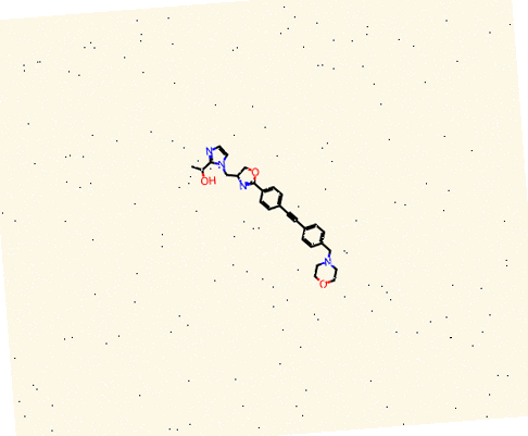 CC(O)c1nccn1CC1COC(c2ccc(C#Cc3ccc(CN4CCOCC4)cc3)cc2)=N1